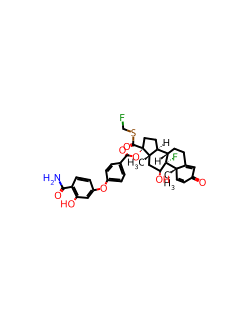 C[C@]12C=CC(=O)C=C1CC[C@H]1[C@@H]3CC[C@](OC(=O)c4ccc(Oc5ccc(C(N)=O)c(O)c5)cc4)(C(=O)SCF)[C@@]3(C)C[C@H](O)[C@@]12F